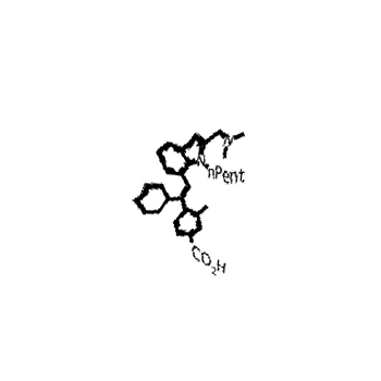 CCCCCn1c(CN(C)C)cc2cccc(/C=C(/c3ccc(C(=O)O)cc3C)C3CCCCC3)c21